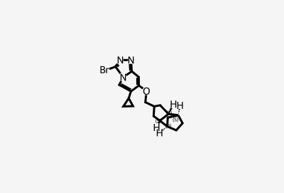 Brc1nnc2cc(OCC3C[C@@H]4[C@H]5CC[C@H](C5)[C@@H]4C3)c(C3CC3)cn12